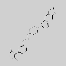 Cc1noc(C)c1-c1cccc(CNCC2CCN(c3nccc(C=C4SC(=O)NC4=O)n3)CC2)n1